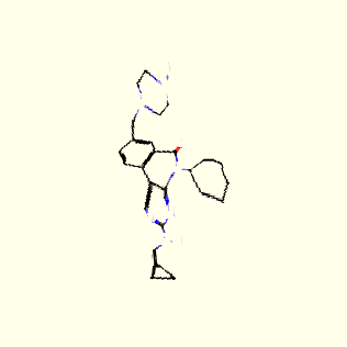 CC(C)(C)N1CCN(Cc2ccc3c(c2)c(=O)n(C2CCCCC2)c2nc(NCC4CC4)ncc32)CC1